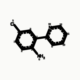 Nc1ccc(Cl)cc1-c1ccccn1